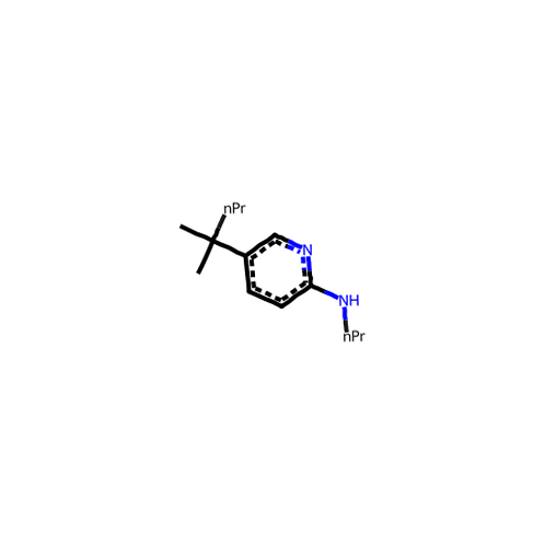 CCCNc1ccc(C(C)(C)CCC)cn1